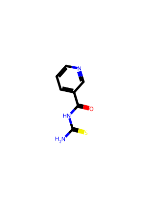 NC(=S)NC(=O)c1cccnc1